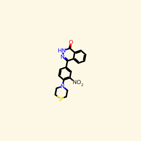 O=c1[nH]nc(-c2ccc(N3CCSCC3)c([N+](=O)[O-])c2)c2ccccc12